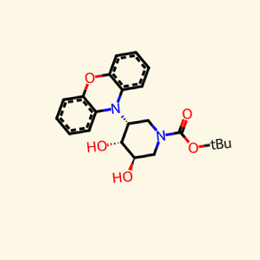 CC(C)(C)OC(=O)N1C[C@@H](O)[C@H](O)[C@H](N2c3ccccc3Oc3ccccc32)C1